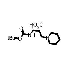 CC(C)(C)OC(=O)N[C@@H](CCN1CCCCC1)C(=O)O